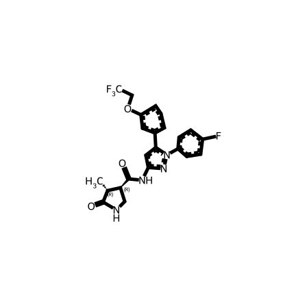 C[C@H]1C(=O)NC[C@@H]1C(=O)Nc1cc(-c2cccc(OCC(F)(F)F)c2)n(-c2ccc(F)cc2)n1